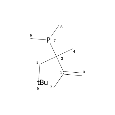 C=C(C)C(C)(CC(C)(C)C)P(C)C